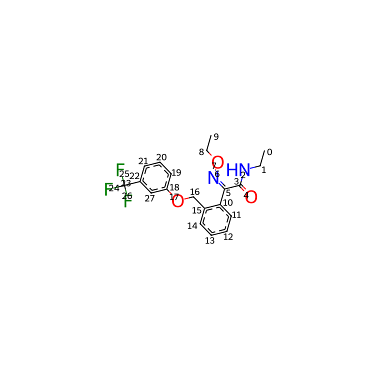 CCNC(=O)/C(=N\OCC)c1ccccc1COc1cccc(C(F)(F)F)c1